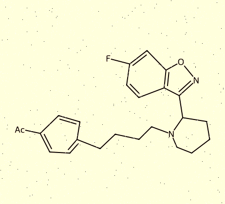 CC(=O)c1ccc(CCCCN2CCCCC2c2noc3cc(F)ccc23)cc1